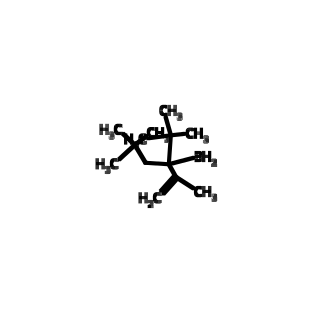 BC(CC(C)(C)C)(C(=C)C)C(C)(C)C